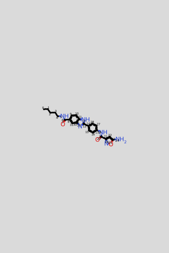 CCCCCNC(=O)c1ccc2[nH]c(-c3ccc(NC(=O)c4cc(N)on4)cc3)nc2c1